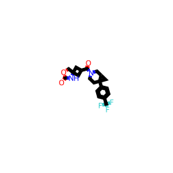 O=C1NC2(CO1)CC(C(=O)N1CCC3(c4ccc(C(F)(F)F)cc4)CC3C1)C2